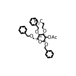 C=CCO[C@@H]1[C@@H](OC(C)=O)[C@H](OCc2ccccc2)O[C@H](COCc2ccccc2)[C@H]1OCc1ccccc1